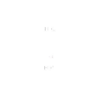 CCCCCCCCCCCCCCCCCCCCC(=O)CCCCCCCC